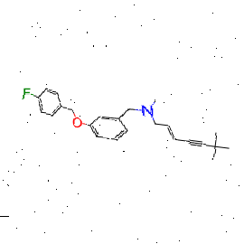 CN(CC=CC#CC(C)(C)C)Cc1cccc(OCc2ccc(F)cc2)c1